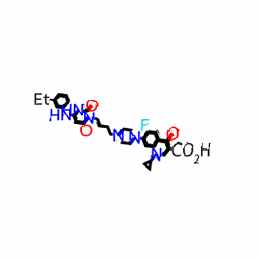 CCc1cccc(Nc2cc(=O)n(CCCCN3CCN(c4cc5c(cc4F)c(=O)c(C(=O)O)cn5C4CC4)CC3)c(=O)[nH]2)c1